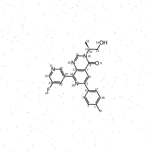 Cc1ccc(-c2cc3c(=O)n([C@@H](C)CO)cnc3c(-c3cncc(F)c3)n2)cc1